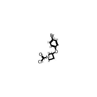 O=C(Cl)N1CCC(Oc2ccc(Br)cc2)C1